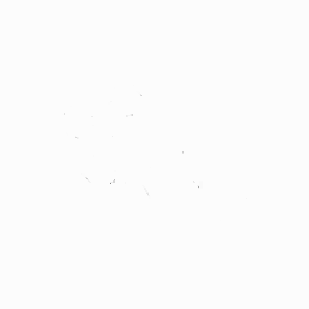 OC1=C(O)C(O)(COC(c2ccccc2)(c2ccccc2)c2ccccc2)C(O)C(NCC(Cl)(Cl)Cl)C1